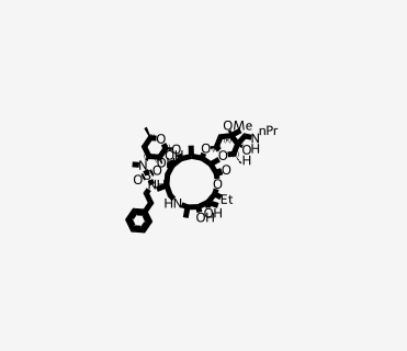 CCCNC[C@]1(O)[C@H](C)O[C@@H](OC2C(C)C(=O)OC(CC)C(C)(O)C(O)C(C)NCC(C)CC(C)(O)C(O[C@@H]3O[C@H](C)C[C@H](N(C)S(=O)(=O)NCCc4ccccc4)[C@H]3O)C2C)C[C@@]1(C)OC